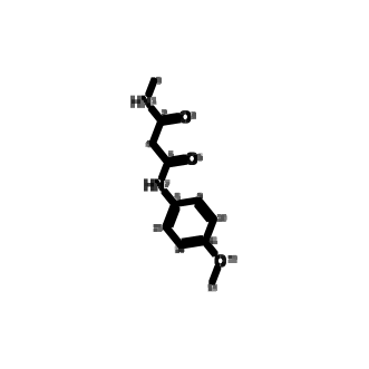 CNC(=O)CC(=O)Nc1ccc(OC)cc1